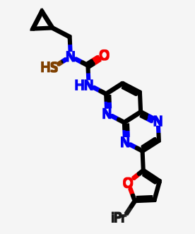 CC(C)c1ccc(-c2cnc3ccc(NC(=O)N(S)CC4CC4)nc3n2)o1